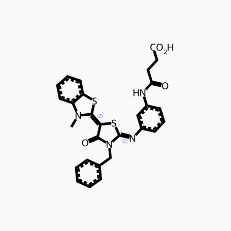 CN1/C(=C2/S/C(=N\c3cccc(NC(=O)CCC(=O)O)c3)N(Cc3ccccc3)C2=O)Sc2ccccc21